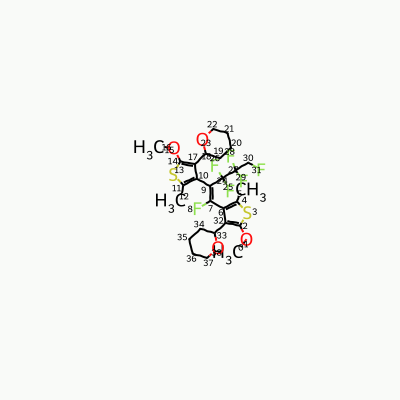 COc1sc(C)c(C(F)=C(c2c(C)sc(OC)c2C2CCCCO2)C(F)(F)C(F)(F)CF)c1C1CCCCO1